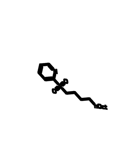 CCCCCCCCCCCCS(=O)(=O)c1ccccn1